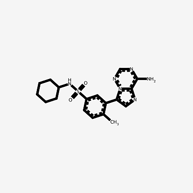 Cc1ccc(S(=O)(=O)NC2CCCCC2)cc1-c1cnc2c(N)ncnn12